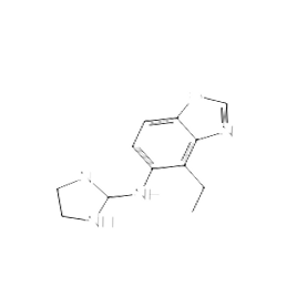 CCc1c(NC2NCCN2)ccc2ocnc12